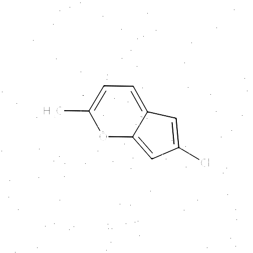 Cc1c[c]c2cc(Cl)cc-2o1